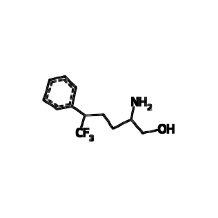 NC(CO)CCC(c1ccccc1)C(F)(F)F